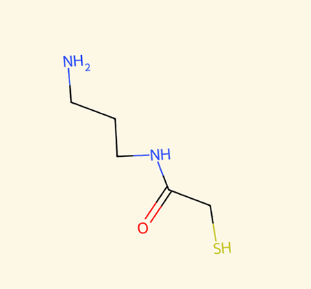 NCCCNC(=O)CS